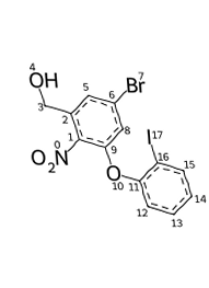 O=[N+]([O-])c1c(CO)cc(Br)cc1Oc1ccccc1I